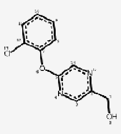 OCc1cnc(Oc2ccccc2Cl)cn1